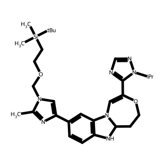 Cc1nc(-c2ccc3c(c2)N2C=C(c4ncnn4C(C)C)OCCC2N3)cn1COCC[Si](C)(C)C(C)(C)C